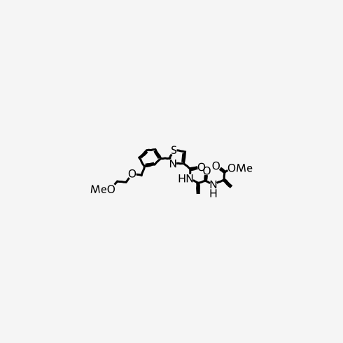 C=C(NC(=O)c1csc(-c2cccc(COCCOC)c2)n1)C(=O)NC(=C)C(=O)OC